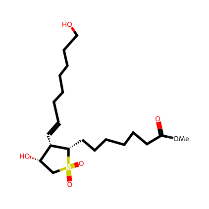 COC(=O)CCCCCC[C@H]1[C@@H](C=CCCCCCCO)[C@@H](O)CS1(=O)=O